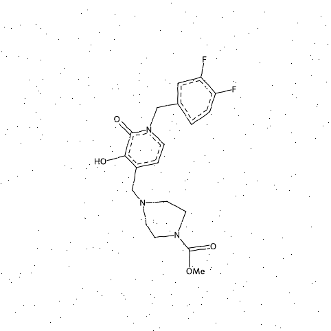 COC(=O)N1CCN(Cc2ccn(Cc3ccc(F)c(F)c3)c(=O)c2O)CC1